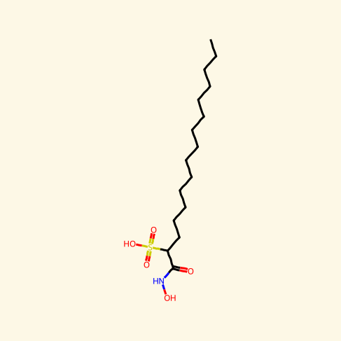 CCCCCCCCCCCCCCC(C(=O)NO)S(=O)(=O)O